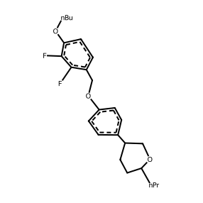 CCCCOc1ccc(COc2ccc(C3CCC(CCC)OC3)cc2)c(F)c1F